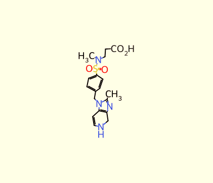 Cc1nc2c(n1Cc1ccc(S(=O)(=O)N(C)CCC(=O)O)cc1)C=CNC2